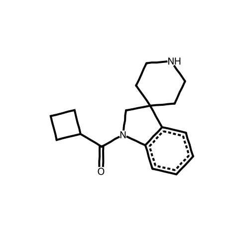 O=C(C1CCC1)N1CC2(CCNCC2)c2ccccc21